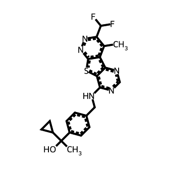 Cc1c(C(F)F)nnc2sc3c(NCc4ccc(C(C)(O)C5CC5)cc4)ncnc3c12